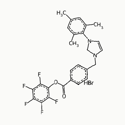 Br.Cc1cc(C)c(N2C=CN(Cc3ccc(C(=O)Oc4c(F)c(F)c(F)c(F)c4F)cc3)C2)c(C)c1